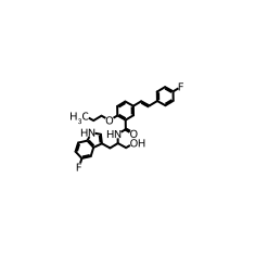 CCCOc1ccc(C=Cc2ccc(F)cc2)cc1C(=O)NC(CO)Cc1c[nH]c2ccc(F)cc12